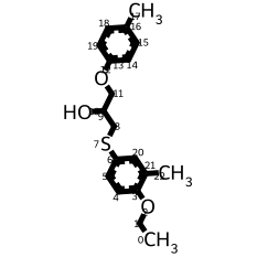 CCOc1ccc(SCC(O)COc2ccc(C)cc2)cc1C